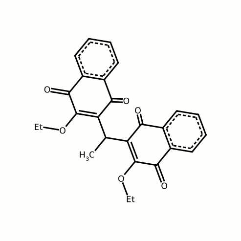 CCOC1=C(C(C)C2=C(OCC)C(=O)c3ccccc3C2=O)C(=O)c2ccccc2C1=O